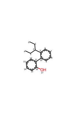 CCC(CC)c1ccccc1-c1ccccc1O